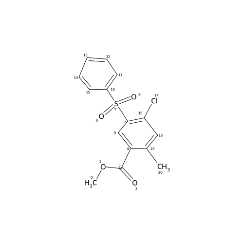 COC(=O)c1cc(S(=O)(=O)c2ccccc2)c(Cl)cc1C